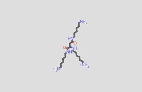 NCCCCCCNC(=O)CC(NCCCCCCN)C(=O)NCCCCCCN